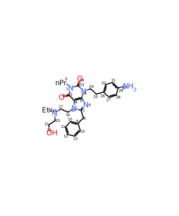 CCCn1c(=O)c2c(nc(Cc3ccccc3)n2CCN(CC)CCO)n(CCc2ccc(N)cc2)c1=O